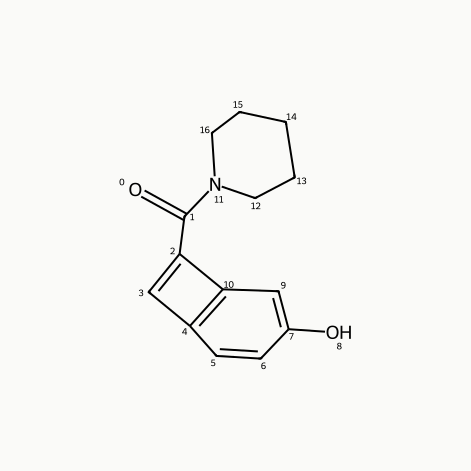 O=C(C1=Cc2ccc(O)cc21)N1CCCCC1